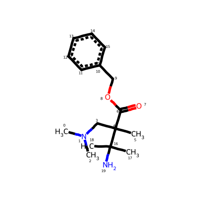 CN(C)CC(C)(C(=O)OCc1ccccc1)C(C)(C)N